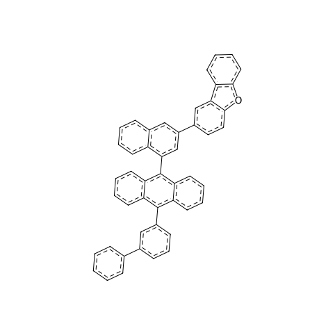 c1ccc(-c2cccc(-c3c4ccccc4c(-c4cc(-c5ccc6oc7ccccc7c6c5)cc5ccccc45)c4ccccc34)c2)cc1